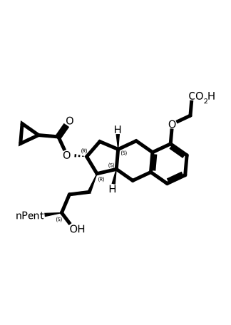 CCCCC[C@H](O)CC[C@@H]1[C@H]2Cc3cccc(OCC(=O)O)c3C[C@H]2C[C@H]1OC(=O)C1CC1